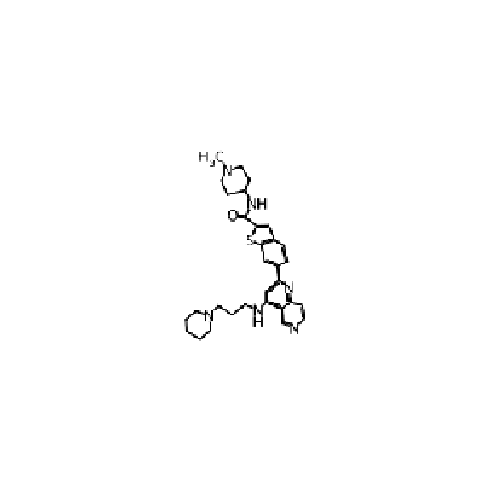 CN1CCC(NC(=O)c2cc3ccc(-c4cc(NCCCN5CCCCC5)c5cnccc5n4)cc3s2)CC1